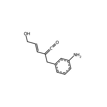 Nc1cccc(CC(=C=O)C=CCO)c1